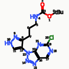 CC(C)(C)OC(=O)NCCCc1n[nH]cc1-n1nnc2cnc(Cl)nc21